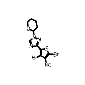 [C-]#[N+]c1c(Br)sc(-c2ncn(C3CCCCO3)n2)c1Br